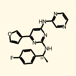 C[C@H](Nc1nc(Nc2cnccn2)cc(-c2ccoc2)n1)c1ccc(F)cc1